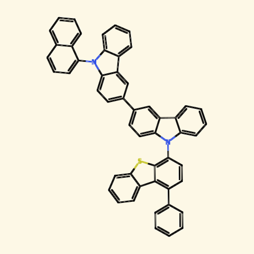 c1ccc(-c2ccc(-n3c4ccccc4c4cc(-c5ccc6c(c5)c5ccccc5n6-c5cccc6ccccc56)ccc43)c3sc4ccccc4c23)cc1